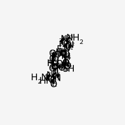 Nc1nc2c(ncn2[C@@H]2O[C@@H]3CO[PH](=O)O[C@H]4[C@H](F)[C@H](n5cnc6c(N)ncnc65)O[C@@H]4CO[P@@](=O)(S)O[C@@H]2[C@@H]3O)c(=O)[nH]1